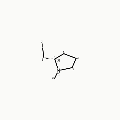 CN1CCC[C@H]1CI